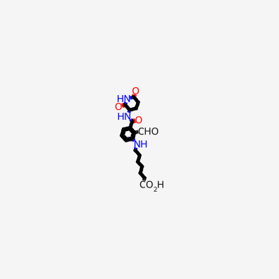 O=Cc1c(NCCCCCCC(=O)O)cccc1C(=O)NC1CCC(=O)NC1=O